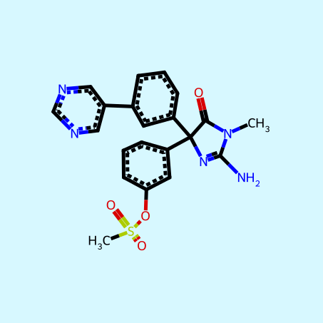 CN1C(=O)C(c2cccc(OS(C)(=O)=O)c2)(c2cccc(-c3cncnc3)c2)N=C1N